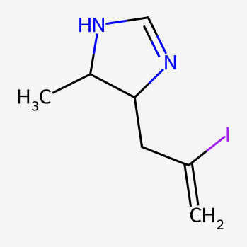 C=C(I)CC1N=CNC1C